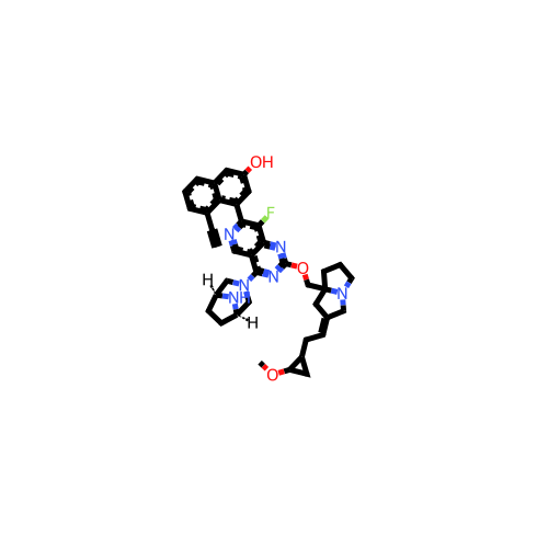 C#Cc1cccc2cc(O)cc(-c3ncc4c(N5C[C@H]6CC[C@@H](C5)N6)nc(OCC56CCCN5CC(=CCC5CC5OC)C6)nc4c3F)c12